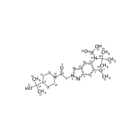 COc1cc2nn(CC(=O)N3CCC(C(C)(C)O)CC3)cc2cc1N(C(=O)O)C(C)(C)C